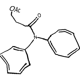 CC(=O)OCC(=O)N(c1ccccc1)c1ccccc1